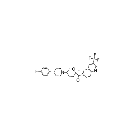 C[C@]1(C(=O)N2CCc3ncc(C(F)(F)F)cc3C2)CCC(N2CCC(c3ccc(F)cc3)CC2)CO1